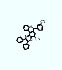 N#Cc1cccc(-c2nc3ccccc3c3c2cc(C#N)c2nc(-c4ccccc4)c(-c4ccccc4)nc23)c1